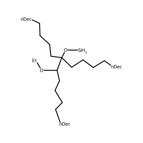 CCCCCCCCCCCCCCC(OCC)C(CCCCCCCCCCCCCC)(CCCCCCCCCCCCCC)O[SiH3]